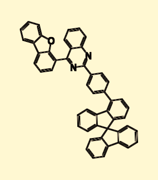 c1ccc2c(c1)-c1ccccc1C21c2ccccc2-c2c(-c3ccc(-c4nc(-c5cccc6c5oc5ccccc56)c5ccccc5n4)cc3)cccc21